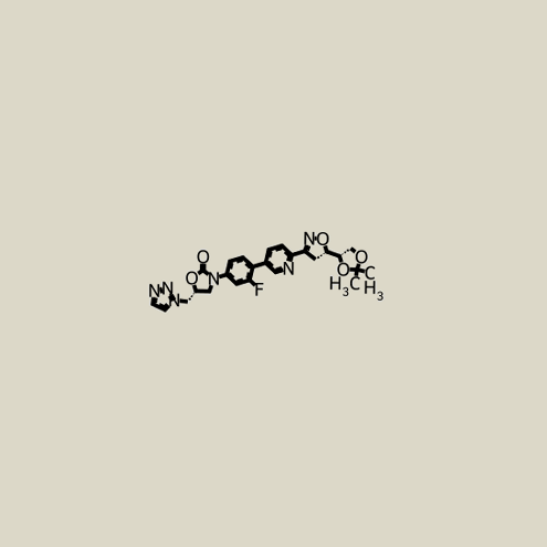 CC1(C)OC[C@@H]([C@@H]2CC(c3ccc(-c4ccc(N5C[C@H](Cn6ccnn6)OC5=O)cc4F)cn3)=NO2)O1